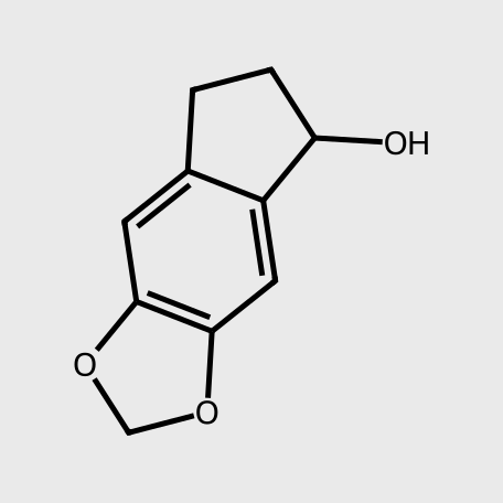 OC1CCc2cc3c(cc21)OCO3